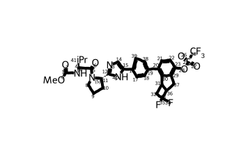 COC(=O)N[C@H](C(=O)N1CCC[C@H]1c1ncc(-c2ccc(-c3ccc(OS(=O)(=O)C(F)(F)F)c4c3C3CC(F)(F)C3C4)cc2)[nH]1)C(C)C